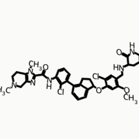 COc1cc(OC2CCc3c(-c4cccc(NC(=O)c5nc6c(n5C)CCN(C)C6)c4Cl)cccc32)c(Cl)cc1CNC1CCCNC1=O